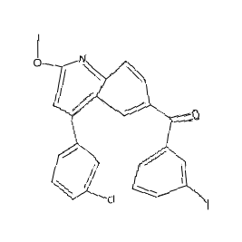 COc1cc(-c2cccc(Cl)c2)c2cc(C(=O)c3cccc(I)c3)ccc2n1